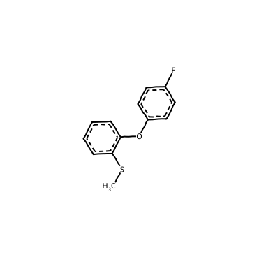 CSc1ccccc1Oc1ccc(F)cc1